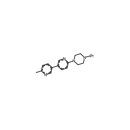 Cc1ccc(-c2ccc(N3CCN(C(C)C)CC3)nc2)cn1